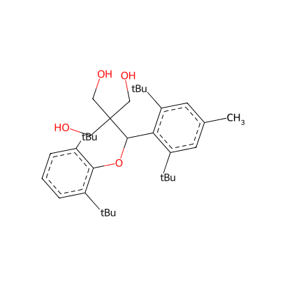 Cc1cc(C(C)(C)C)c(C(Oc2c(C(C)(C)C)cccc2C(C)(C)C)C(CO)(CO)CO)c(C(C)(C)C)c1